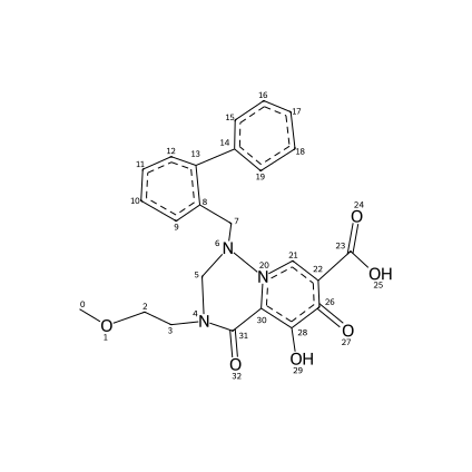 COCCN1CN(Cc2ccccc2-c2ccccc2)n2cc(C(=O)O)c(=O)c(O)c2C1=O